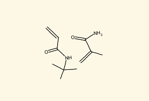 C=C(C)C(N)=O.C=CC(=O)NC(C)(C)C